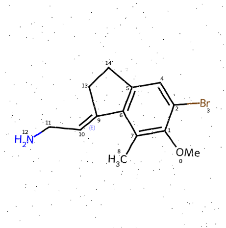 COc1c(Br)cc2c(c1C)/C(=C/CN)CC2